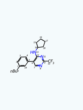 CCCCc1cccc(-c2cnc(C(F)(F)F)nc2NC2CCCC2)c1